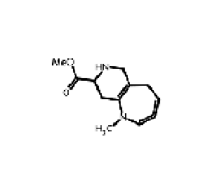 COC(=O)C1CC2=C(CC=C=CN2C)CN1